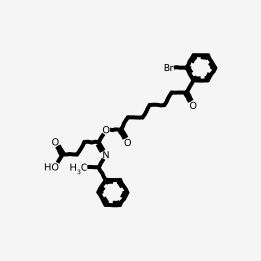 CC(N=C(CCC(=O)O)OC(=O)CCCCCC(=O)c1ccccc1Br)c1ccccc1